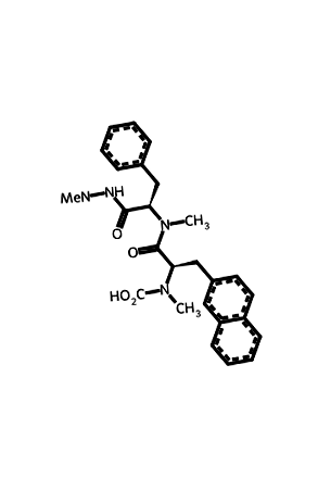 CNNC(=O)[C@@H](Cc1ccccc1)N(C)C(=O)[C@@H](Cc1ccc2ccccc2c1)N(C)C(=O)O